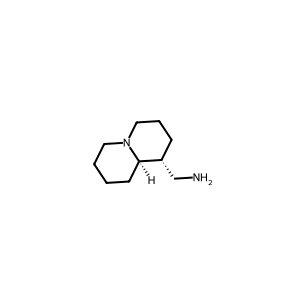 NC[C@H]1CCCN2CCCC[C@H]12